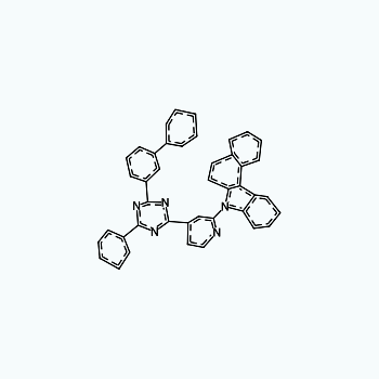 c1ccc(-c2cccc(-c3nc(-c4ccccc4)nc(-c4ccnc(-n5c6ccccc6c6c7ccccc7ccc65)c4)n3)c2)cc1